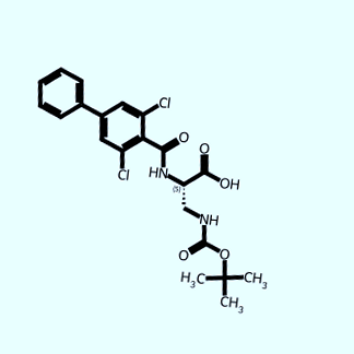 CC(C)(C)OC(=O)NC[C@H](NC(=O)c1c(Cl)cc(-c2ccccc2)cc1Cl)C(=O)O